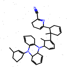 CC1C=C(N2C3=C(CCC=C3)N(C3C=CC=C(C4(C)CC=CCC4C4=CCCC(C#N)=N4)C3C)C3C=CC=CC32)CCC1